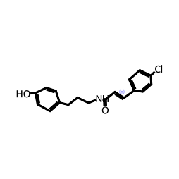 O=C(/C=C/c1ccc(Cl)cc1)NCCCc1ccc(O)cc1